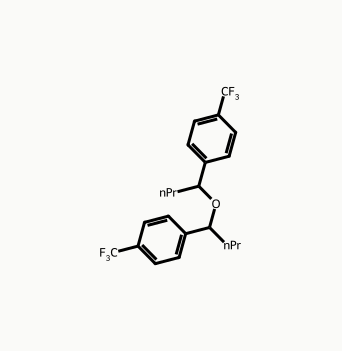 CCCC(OC(CCC)c1ccc(C(F)(F)F)cc1)c1ccc(C(F)(F)F)cc1